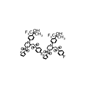 CC(O)(c1ccc(N2CCN(S(=O)(=O)c3cccs3)C[C@@H]2CS(=O)(=O)c2ccc(F)cc2)cc1)C(F)(F)F.C[C@](O)(c1ccc(N2CCN(S(=O)(=O)c3cccs3)C[C@@H]2CS(=O)(=O)c2ccc(F)cc2)cc1)C(F)(F)F